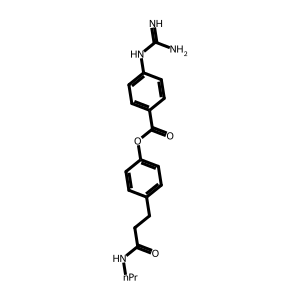 CCCNC(=O)CCc1ccc(OC(=O)c2ccc(NC(=N)N)cc2)cc1